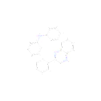 c1ccc(-c2cnc3ccccc3n2)cc1.c1ccc(Nc2ccccc2)cc1